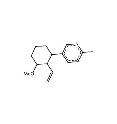 C=CC1C(OC)CCCC1c1ccc(C)nc1